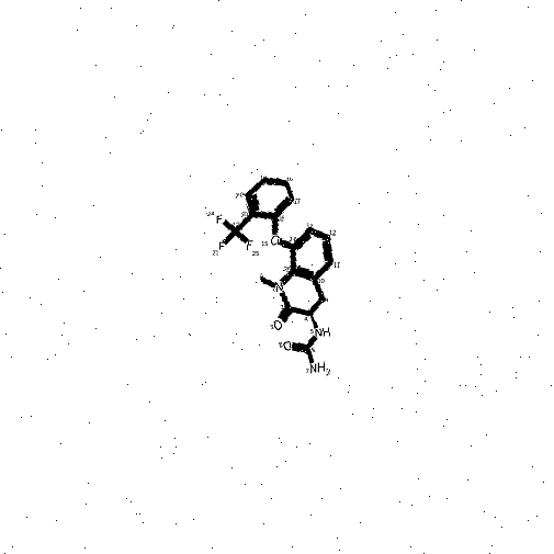 CN1C(=O)[C@H](NC(N)=O)Cc2cccc(Oc3ccccc3C(F)(F)F)c21